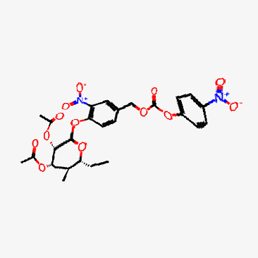 CC[C@H]1OC(Oc2ccc(COC(=O)Oc3ccc([N+](=O)[O-])cc3)cc2[N+](=O)[O-])[C@@H](OC(C)=O)[C@@H](OC(C)=O)[C@@H]1C